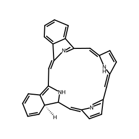 C1=CC2=C3C=C4N=C(C=c5ccc([nH]5)=CC5=NC(=CC(N3)[C@H]2C=C1)C=C5)c1ccccc14